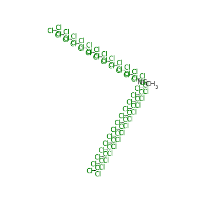 CC#N.ClC(Cl)Cl.ClC(Cl)Cl.ClC(Cl)Cl.ClC(Cl)Cl.ClC(Cl)Cl.ClC(Cl)Cl.ClC(Cl)Cl.ClC(Cl)Cl.ClC(Cl)Cl.ClC(Cl)Cl.ClC(Cl)Cl.ClC(Cl)Cl.ClC(Cl)Cl.ClC(Cl)Cl.ClC(Cl)Cl.ClC(Cl)Cl.ClC(Cl)Cl.ClC(Cl)Cl.ClC(Cl)Cl.ClC(Cl)Cl.ClC(Cl)Cl.ClC(Cl)Cl.ClC(Cl)Cl.ClC(Cl)Cl.ClC(Cl)Cl